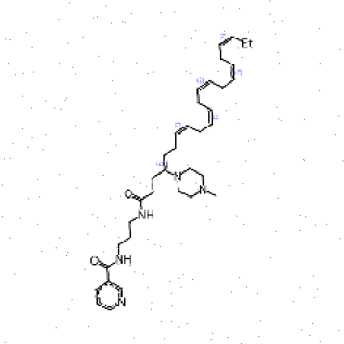 CC/C=C\C/C=C\C/C=C\C/C=C\C/C=C\C/C=C(/CCC(=O)NCCCNC(=O)c1cccnc1)N1CCN(C)CC1